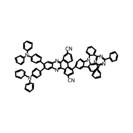 N#Cc1ccc2c(c1)c1nc3cc(-c4ccc(N(c5ccccc5)c5ccccc5)cc4)c(-c4ccc(N(c5ccccc5)c5ccccc5)cc4)cc3nc1c1cc(C#N)cc(-c3ccc4c(c3)c3ccccc3n4-c3ccccc3-c3nc(-c4ccccc4)nc(-c4ccccc4)n3)c21